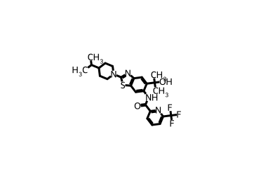 CC(C)C1CCN(c2nc3cc(C(C)(C)O)c(NC(=O)c4cccc(C(F)(F)F)n4)cc3s2)CC1